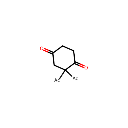 CC(=O)C1(C(C)=O)CC(=O)CCC1=O